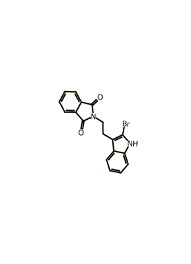 O=C1c2ccccc2C(=O)N1CCc1c(Br)[nH]c2ccccc12